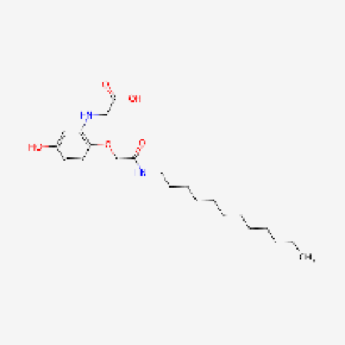 CCCCCCCCCCCCNC(=O)COc1ccc(O)cc1NCC(=O)O